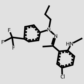 CCCN(/N=C(\C)c1cc(Cl)ccc1NC)c1ccc(C(F)(F)F)cc1